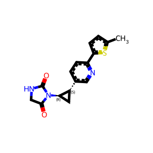 Cc1ccc(-c2ccc([C@@H]3C[C@H]3N3C(=O)CNC3=O)cn2)s1